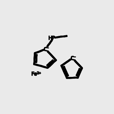 CP[c-]1cccc1.[Fe+2].c1cc[cH-]c1